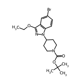 CCOc1nn(C2CCN(C(=O)OC(C)(C)C)CC2)c2ccc(Br)cc12